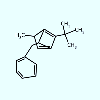 CC1[C]=C2C(C(C)(C)C)=C1C2Cc1ccccc1